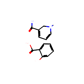 CN1C=CC=C(C(N)=O)C1.O=C(O)c1ccccc1O